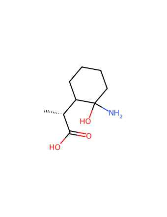 C[C@@H](C(=O)O)C1CCCCC1(N)O